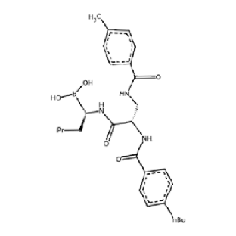 CCCCc1ccc(C(=O)N[C@@H](CNC(=O)c2ccc(C)cc2)C(=O)N[C@@H](CC(C)C)B(O)O)cc1